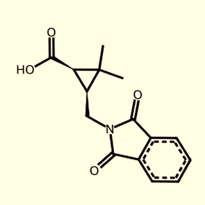 CC1(C)[C@H](C(=O)O)[C@@H]1CN1C(=O)c2ccccc2C1=O